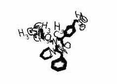 Cc1c(-c2ccc(C[SH](=O)=O)cc2)c(=O)n2nc(-c3ccccc3)c(N3CCCCC3)c2n1COCC[Si](C)(C)C